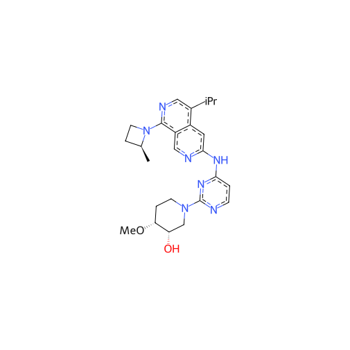 CO[C@@H]1CCN(c2nccc(Nc3cc4c(C(C)C)cnc(N5CC[C@@H]5C)c4cn3)n2)C[C@@H]1O